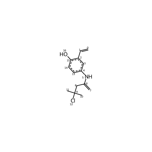 C=Cc1cc(NC(=C)CC(C)(C)Cl)ccc1O